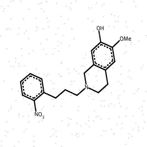 COc1cc2c(cc1O)CN(CCCc1ccccc1[N+](=O)[O-])CC2